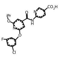 CC(C)Oc1cc(C(=O)Nc2ccc(C(=O)O)cn2)cc(Oc2cc(F)cc(Cl)c2)n1